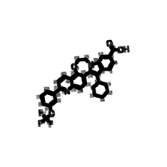 O=C(O)c1ccc2c(C3CCCCC3)c3n(c2c1)CCOc1c-3ccc2nc(-c3cccc(OC(F)(F)F)c3)ccc12